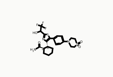 NC(=O)[C@@H]1CCCC[C@H]1c1nc(C(O)C(F)(F)F)sc1-c1ccc(N2CCS(=O)(=O)CC2)cc1